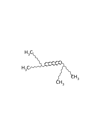 CCCCCCCCCCC(CCCCCCCC)Cc1ccc2cc3cc4cc5ccc(CC(CCCCCCCC)CCCCCCCCCC)cc5cc4cc3cc2c1